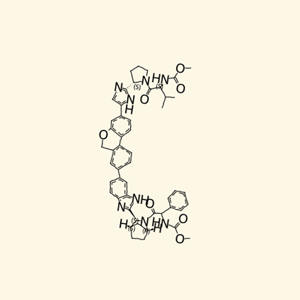 COC(=O)NC(C(=O)N1[C@@H]2CC[C@@H](C2)[C@H]1c1nc2ccc(-c3ccc4c(c3)COc3cc(-c5cnc([C@@H]6CCCN6C(=O)[C@@H](NC(=O)OC)C(C)C)[nH]5)ccc3-4)cc2[nH]1)c1ccccc1